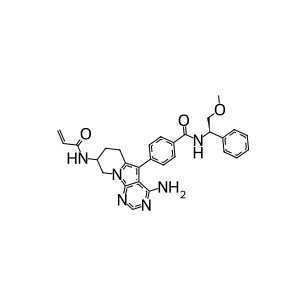 C=CC(=O)NC1CCc2c(-c3ccc(C(=O)N[C@@H](COC)c4ccccc4)cc3)c3c(N)ncnc3n2C1